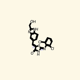 O=C1N/C(=N/c2c(Cl)cccc2Cl)S/C1=C\c1ccc2[nH]c(CO)nc2c1